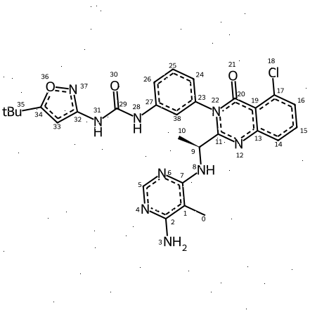 Cc1c(N)ncnc1N[C@@H](C)c1nc2cccc(Cl)c2c(=O)n1-c1cccc(NC(=O)Nc2cc(C(C)(C)C)on2)c1